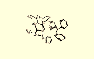 CC(C)[C@H](NC(=O)[C@H](C)NC(=O)Oc1ccccc1)C(=O)N1CCC[C@@H]1c1nc(C(c2ccccc2)c2ccccc2)cs1